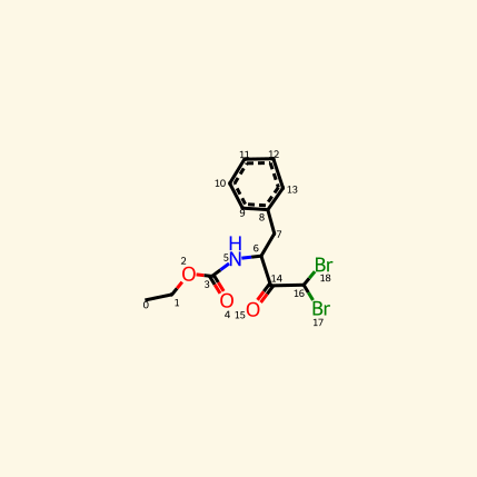 CCOC(=O)NC(Cc1ccccc1)C(=O)C(Br)Br